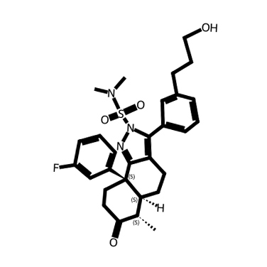 C[C@@H]1C(=O)CC[C@]2(c3cccc(F)c3)c3nn(S(=O)(=O)N(C)C)c(-c4cccc(CCCO)c4)c3CC[C@@H]12